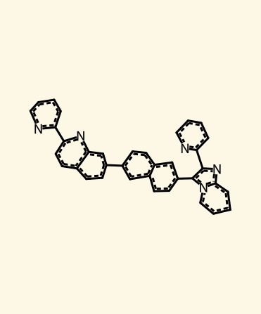 c1ccc(-c2ccc3ccc(-c4ccc5cc(-c6c(-c7ccccn7)nc7ccccn67)ccc5c4)cc3n2)nc1